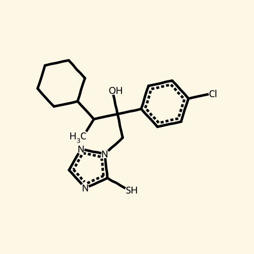 CC(C1CCCCC1)C(O)(Cn1ncnc1S)c1ccc(Cl)cc1